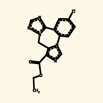 CCOC(=O)c1ncn2c1Cn1ncnc1-c1cc(Cl)ccc1-2